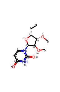 CC[C@H]1O[C@H](n2ccc(=O)[nH]c2=O)C(OC)[C@H]1OC